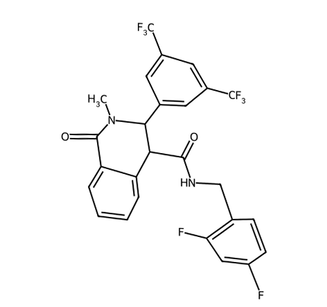 CN1C(=O)c2ccccc2C(C(=O)NCc2ccc(F)cc2F)C1c1cc(C(F)(F)F)cc(C(F)(F)F)c1